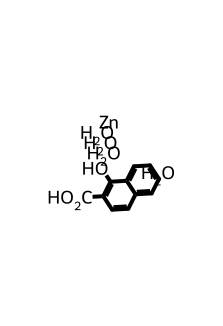 O.O.O.O.O=C(O)c1ccc2ccccc2c1O.[Zn]